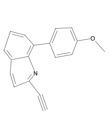 C#Cc1ccc2cccc(-c3ccc(OC)cc3)c2n1